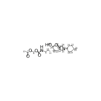 CC(=O)OCOC(=O)NCCC[C@@H](Cc1cn(C2CCC(C)CC2)cn1)C(=O)O